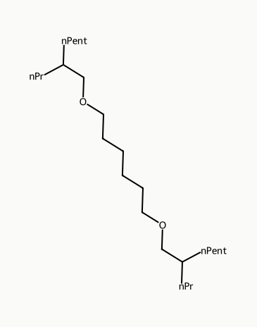 CCCCCC(CCC)COCCCCCCOCC(CCC)CCCCC